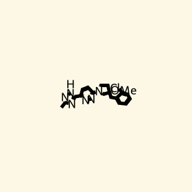 COC1(Cc2ccccc2Cl)CCN(c2ccc(-c3nc(C)n[nH]3)nn2)C1